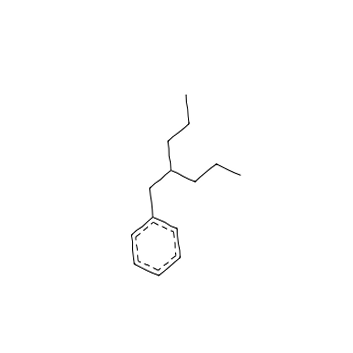 CCCC(CCC)Cc1ccccc1